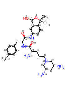 CC1(C)OB(O)c2cc(NC(=O)[C@@H](Cc3ccc(C(F)(F)F)cc3)NC(=O)[C@@H](N)CCCN3C[C@H](N)C[C@H](N)C3)ccc21